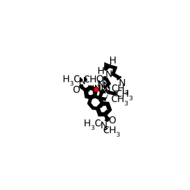 CN(C)C(=O)c1ccc2c(c1)CCc1cc(C(=O)N(C)C)ccc1C2(C[C@H](NCC(=O)N1C(C#N)C[C@@H]2C[C@@H]21)C(C)(C)C)c1nnn[nH]1